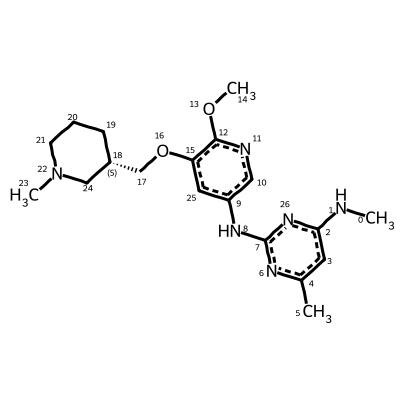 CNc1cc(C)nc(Nc2cnc(OC)c(OC[C@H]3CCCN(C)C3)c2)n1